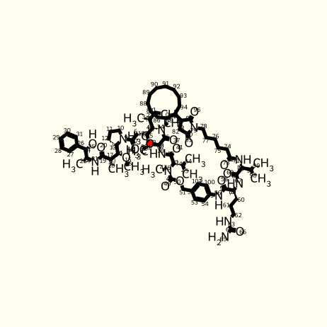 CC[C@H](C)[C@@H]([C@@H](CC(=O)N1CCC[C@H]1[C@H](OC)[C@@H](C)C(=O)N[C@@H](C)[C@H](O)c1ccccc1)OC)N(C)C(=O)[C@@H](NC(=O)[C@H](C(C)C)N(C)C(=O)OCc1ccc(NC(=O)[C@H](CCCNC(N)=O)NC(=O)[C@@H](NC(=O)CCCCCN2C(=O)CC(C3CCCCCCCCCC3)C2=O)C(C)C)cc1)C(C)C